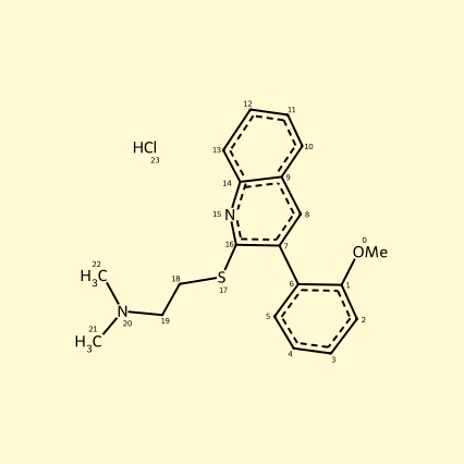 COc1ccccc1-c1cc2ccccc2nc1SCCN(C)C.Cl